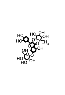 C[C@@H]1O[C@@H](Oc2c(-c3ccc(O)c(O)c3)oc3cc(O[C@@H]4O[C@H](CO)[C@@H](O)[C@H](O)[C@H]4O)cc(O)c3c2=O)[C@H](O)[C@H](O)[C@H]1O